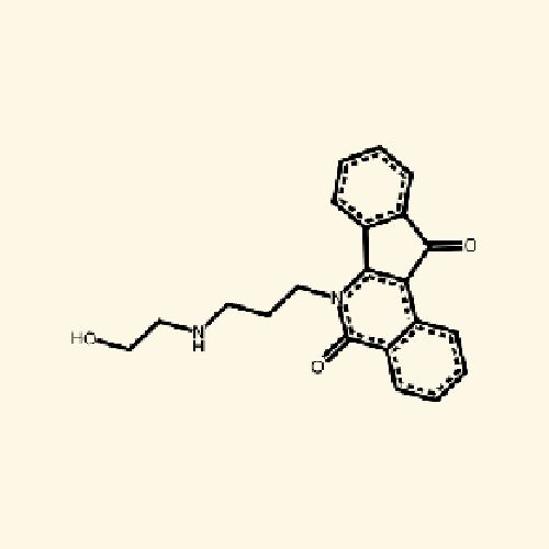 O=C1c2ccccc2-c2c1c1ccccc1c(=O)n2CCCNCCO